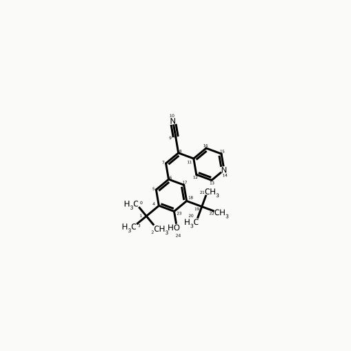 CC(C)(C)c1cc(/C=C(/C#N)c2ccncc2)cc(C(C)(C)C)c1O